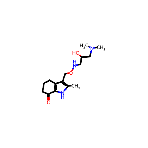 Cc1[nH]c2c(c1CONCC(O)CN(C)C)CCCC2=O